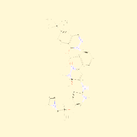 Cn1nc(-c2cccc(-n3ncc4cc(C(C)(C)C#N)ccc4c3=O)c2CO)cc(Nc2ccc(OC(C)(C)CN3CCC3)cn2)c1=O